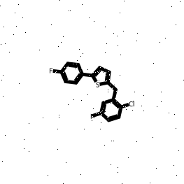 Fc1ccc(-c2ccc(Cc3cc(I)ccc3Cl)s2)cc1